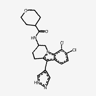 O=C(NC1CCc2c(-c3cn[nH]c3)c3ccc(Cl)c(Cl)c3n2C1)C1CCOCC1